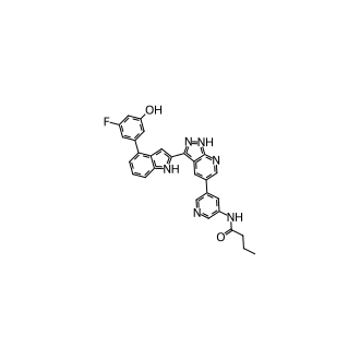 CCCC(=O)Nc1cncc(-c2cnc3[nH]nc(-c4cc5c(-c6cc(O)cc(F)c6)cccc5[nH]4)c3c2)c1